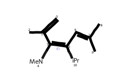 C=C(C)/C(NC)=C(\C=C(C)C)C(C)C